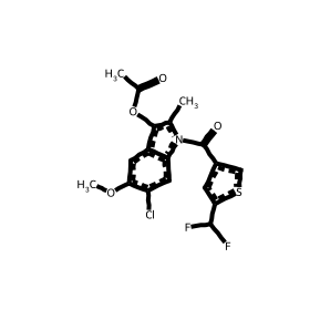 COc1cc2c(OC(C)=O)c(C)n(C(=O)c3csc(C(F)F)c3)c2cc1Cl